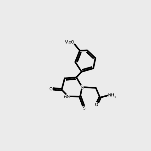 COc1cccc(-c2cc(=O)[nH]c(=S)n2CC(N)=O)c1